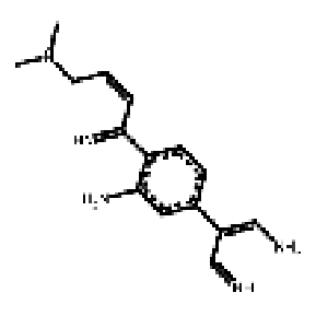 CN(C)C/C=C\C(=N)c1ccc(/C(C=N)=C/N)cc1N